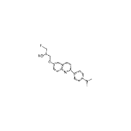 CN(C)c1ccc(-c2ccc3cc(OCC(O)CF)ccc3n2)cc1